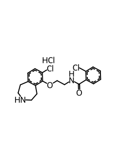 Cl.O=C(NCCOc1c(Cl)ccc2c1CCNCC2)c1ccccc1Cl